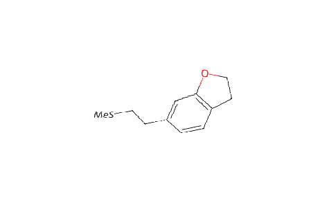 CSCCc1ccc2c(c1)OCC2